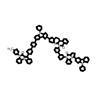 Cc1ccc(-n2c(=O)c3c(-c4ccc(-c5ccc(-c6ccc7c(c6)c6cc(-c8ccc9c(c8)CCC8C(=N9)N(c9cccc(-c%10cccc(-n%11c(=O)c%12ccc(-c%13ccc%14c(c%13)c%13ccccc%13n%14-c%13ccccc%13)n%12c%12ccccc%12%11)c%10)c9)C(=O)c9ccccc98)ccc6n7-c6ccccc6)cc5)cc4)c4ccccc4n3c3ccccc32)cc1